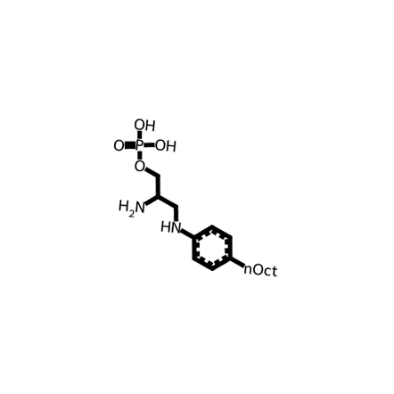 CCCCCCCCc1ccc(NCC(N)COP(=O)(O)O)cc1